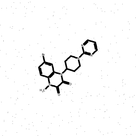 Cn1c(=O)c(=O)n(C2CCN(c3ncccn3)CC2)c2cc(Br)ccc21